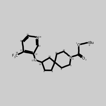 CC(C)(C)OC(=O)N1CCC2(CCC(Oc3cnccc3C(F)(F)F)C2)CC1